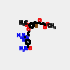 COC(=O)CCC(=O)c1cc2cc(OC)c(OCCCn3c(N)nc4cc(C(N)=O)ccc43)cc2s1